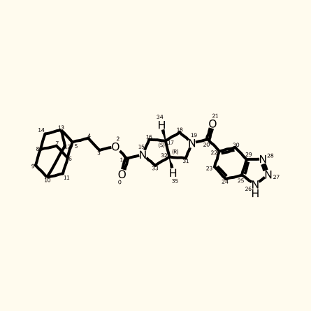 O=C(OCCC1C2CC3CC(C2)CC1C3)N1C[C@@H]2CN(C(=O)c3ccc4[nH]nnc4c3)C[C@@H]2C1